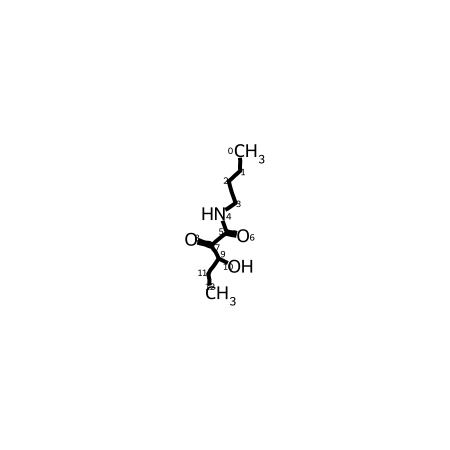 CCCCNC(=O)C(=O)C(O)CC